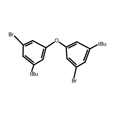 CC(C)(C)c1cc(Br)cc(Oc2cc(Br)cc(C(C)(C)C)c2)c1